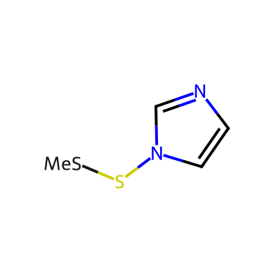 CSSn1ccnc1